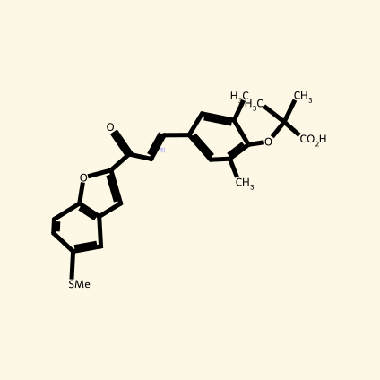 CSc1ccc2oc(C(=O)/C=C/c3cc(C)c(OC(C)(C)C(=O)O)c(C)c3)cc2c1